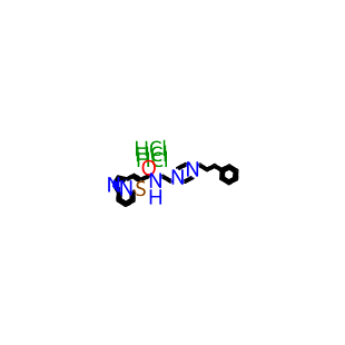 Cl.Cl.Cl.O=C(NCCN1CCN(CCCc2ccccc2)CC1)C1=Cc2cnc3cccc(n23)S1